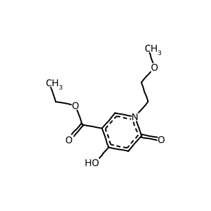 CCOC(=O)c1cn(CCOC)c(=O)cc1O